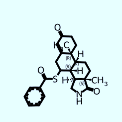 C[C@]12CCC(=O)C=C1CC(SC(=O)c1ccccc1)[C@@H]1[C@H]2CC[C@]2(C)C(=O)NC[C@@H]12